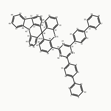 c1ccc(-c2ccc(-c3nc(-c4ccc(-c5ccccc5)cc4)nc(-c4cccc5c4Sc4ccccc4C54c5ccccc5-n5c6ccccc6c6cccc4c65)n3)cc2)cc1